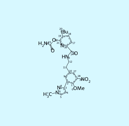 COc1c(-c2ccn(C)n2)cc(CCNC(=O)c2ccc(C(C)(C)C)c(OC(N)=O)n2)cc1[N+](=O)[O-]